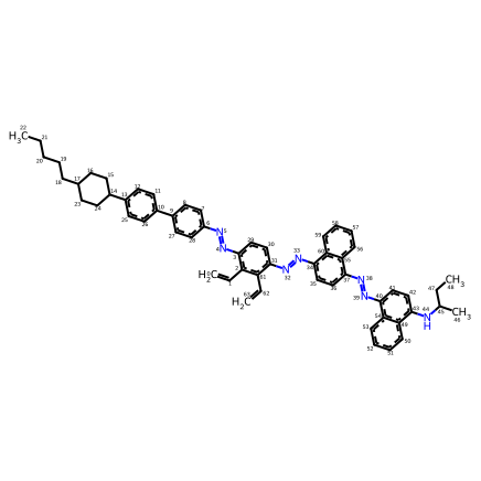 C=Cc1c(N=Nc2ccc(-c3ccc(C4CCC(CCCCC)CC4)cc3)cc2)ccc(N=Nc2ccc(N=Nc3ccc(NC(C)CC)c4ccccc34)c3ccccc23)c1C=C